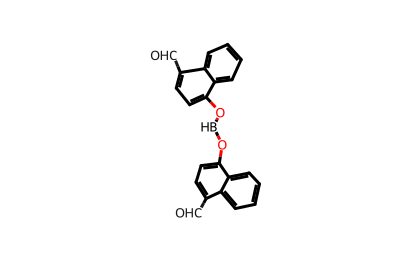 O=Cc1ccc(OBOc2ccc(C=O)c3ccccc23)c2ccccc12